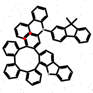 CC1(C)c2ccccc2-c2ccc(N(c3ccc4c5ccccc5c5ccccc5c5ccccc5c5c(ccc6c7ccccc7sc65)c4c3)c3ccccc3-c3ccccc3)cc21